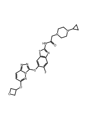 O=C(CN1CCN(C2CC2)CC1)Nc1nc2cc(F)c(Sc3nnc4ccc(OC5COC5)nn34)cc2s1